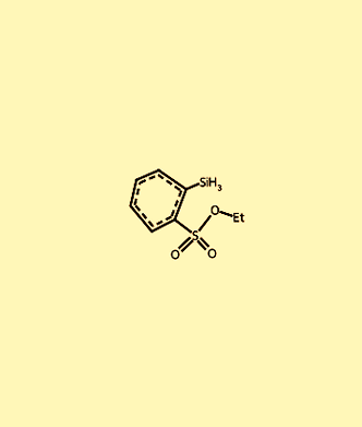 CCOS(=O)(=O)c1ccccc1[SiH3]